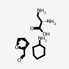 NC1CCCCC1.NC[C@H](N)C(=O)O.O=Cc1ccco1